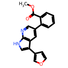 COC(=O)c1ccccc1-c1cnc2[nH]cc(-c3ccoc3)c2c1